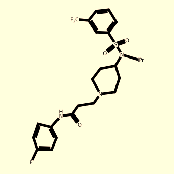 CC(C)N(C1CCN(CCC(=O)Nc2ccc(F)cc2)CC1)S(=O)(=O)c1cccc(C(F)(F)F)c1